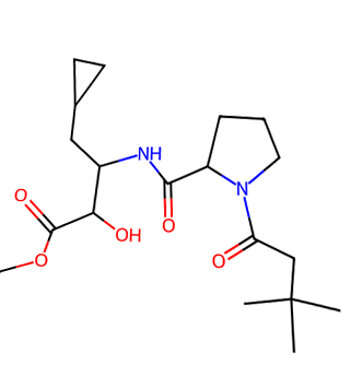 CCOC(=O)C(O)C(CC1CC1)NC(=O)C1CCCN1C(=O)CC(C)(C)C